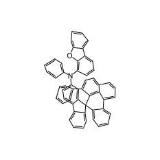 c1ccc(-c2ccc3cccc4c3c2C2(c3ccccc3-c3ccc(N(c5ccccc5)c5cccc6c5oc5ccccc56)cc32)c2ccccc2-4)cc1